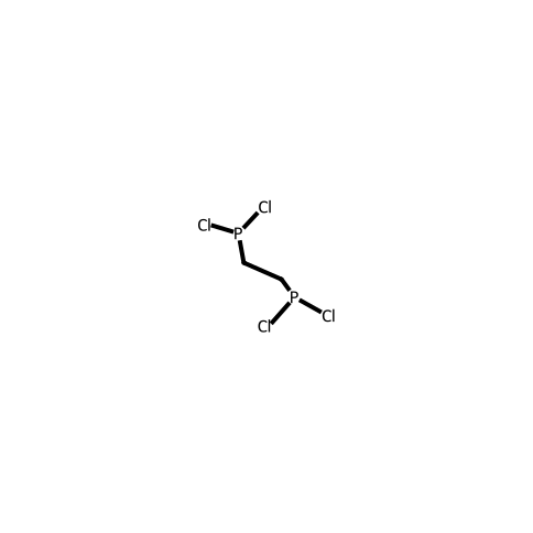 ClP(Cl)CCP(Cl)Cl